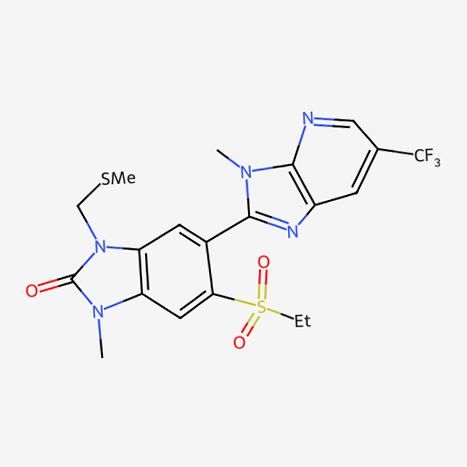 CCS(=O)(=O)c1cc2c(cc1-c1nc3cc(C(F)(F)F)cnc3n1C)n(CSC)c(=O)n2C